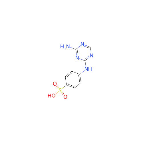 Nc1ncnc(Nc2ccc(S(=O)(=O)O)cc2)n1